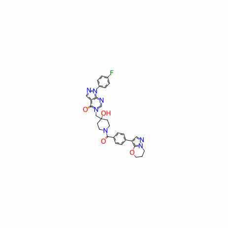 O=C(c1ccc(-c2cnn3c2OCCC3)cc1)N1CCC(O)(Cn2cnc3c(cnn3-c3ccc(F)cc3)c2=O)CC1